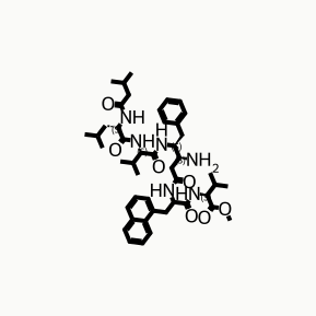 COC(=O)[C@@H](NC(=O)C(Cc1cccc2ccccc12)NC(=O)C[C@H](N)[C@H](Cc1ccccc1)NC(=O)[C@@H](NC(=O)[C@H](CC(C)C)NC(=O)CC(C)C)C(C)C)C(C)C